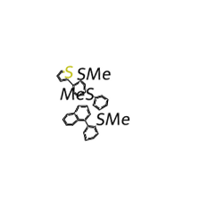 CSc1ccccc1.CSc1ccccc1-c1cccc2ccccc12.CSc1ccccc1-c1cccs1